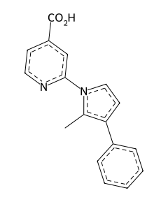 Cc1c(-c2ccccc2)ccn1-c1cc(C(=O)O)ccn1